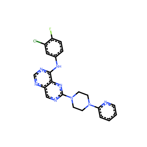 Fc1ccc(Nc2ncnc3cnc(N4CCN(c5ccccn5)CC4)nc23)cc1Cl